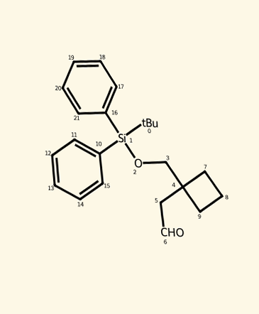 CC(C)(C)[Si](OCC1(CC=O)CCC1)(c1ccccc1)c1ccccc1